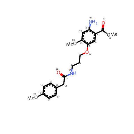 COC(=O)c1cc(OCCCNC(=O)Cc2ccc(OC)cc2)c(OC)cc1N